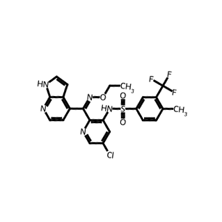 CCON=C(c1ncc(Cl)cc1NS(=O)(=O)c1ccc(C)c(C(F)(F)F)c1)c1ccnc2[nH]ccc12